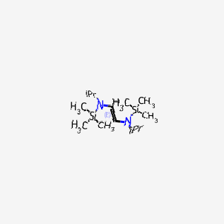 CC(C)N(/C=C/N(C(C)C)[Si](C)(C)C)[Si](C)(C)C